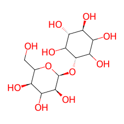 OCC1O[C@@H](O[C@H]2C(O)C(O)[C@H](O)[C@@H](O)C2O)[C@@H](O)C(O)[C@H]1O